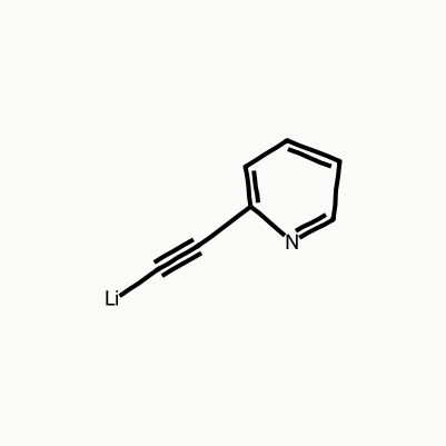 [Li][C]#Cc1ccccn1